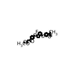 COC(=O)CC1COc2cc(O[C@@H]3CCc4c(Oc5ccc6c(C)noc6c5)ccc(F)c43)ccc21